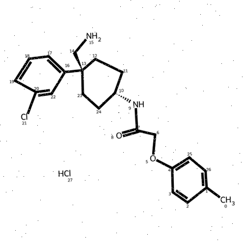 Cc1ccc(OCC(=O)N[C@H]2CC[C@@](CN)(c3cccc(Cl)c3)CC2)cc1.Cl